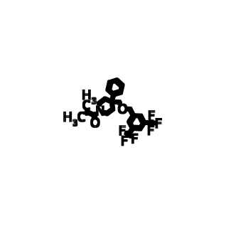 CC(C)C(=O)N1CCC(COCc2cc(C(F)(F)F)cc(C(F)(F)F)c2)(c2ccccc2)CC1